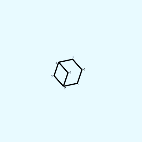 [CH]1CC2[CH]C(C1)C2